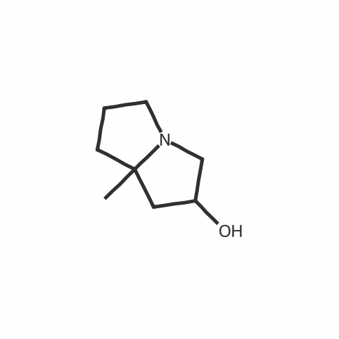 CC12CCCN1CC(O)C2